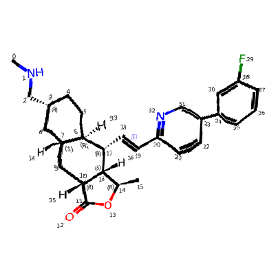 CNC[C@@H]1CC[C@@H]2[C@@H](C1)C[C@H]1C(=O)O[C@H](C)[C@H]1[C@H]2/C=C/c1ccc(-c2cccc(F)c2)cn1